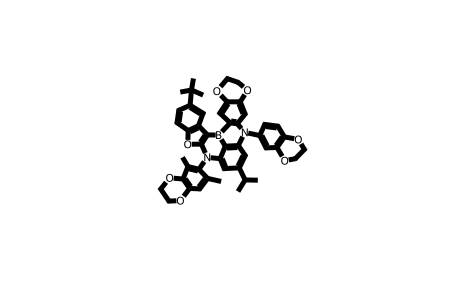 Cc1cc2c(c(C)c1N1c3cc(C(C)C)cc4c3B(c3cc5c(cc3N4c3ccc4c(c3)OCCO4)OCCO5)c3c1oc1ccc(C(C)(C)C)cc31)OCCO2